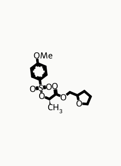 COc1ccc(S(=O)(=O)O[C@@H](C)C(=O)OCC2CCCO2)cc1